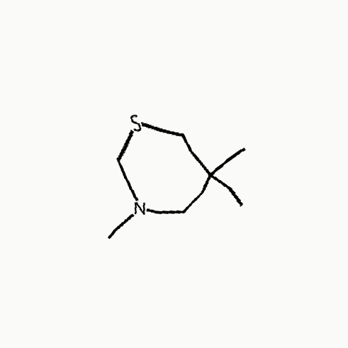 CN1CSCC(C)(C)C1